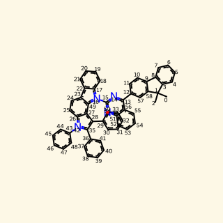 CC1(C)c2ccccc2-c2ccc(-c3nc(-n4c5ccccc5c5ccc6c(c(-c7ccccc7)c(-c7ccccc7)n6-c6ccccc6)c54)nc4ccccc34)cc21